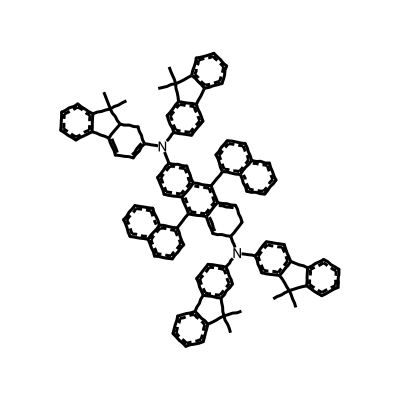 CC1(C)c2ccccc2-c2ccc(N(C3=CC=C4c5ccccc5C(C)(C)C4C3)c3ccc4c(-c5cccc6ccccc56)c5c(c(-c6cccc7ccccc67)c4c3)=CCC(N(c3ccc4c(c3)C(C)(C)c3ccccc3-4)c3ccc4c(c3)C(C)(C)c3ccccc3-4)C=5)cc21